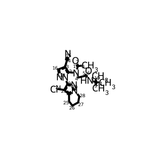 CC(=O)N(CC(=O)NC(C)(C)C)c1c(C#N)cnn1-c1nn2c(c1Cl)CCCC2